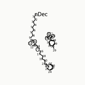 CCCCCCCCCCCCCCCCCCC[C@H]1OC[C@H](COCCCCCC[n+]2ccccc2)O1.Cc1ccc(S(=O)(=O)[O-])cc1